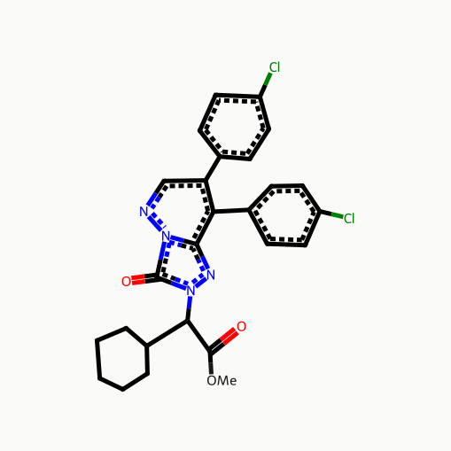 COC(=O)C(C1CCCCC1)n1nc2c(-c3ccc(Cl)cc3)c(-c3ccc(Cl)cc3)cnn2c1=O